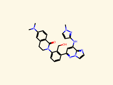 CN(C)c1ccc2c(c1)CCN(c1cccc(-c3cc(Nc4ccn(C)n4)c4nccn4n3)c1CO)C2=O